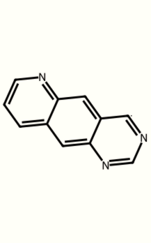 [c]1ncnc2cc3cccnc3cc12